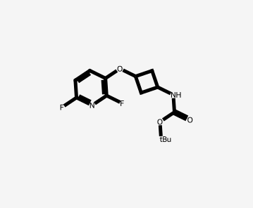 CC(C)(C)OC(=O)NC1CC(Oc2ccc(F)nc2F)C1